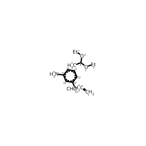 C=C.CCOC(C)OCC.Nc1cccc(C=O)c1